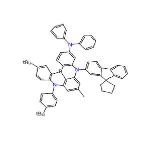 Cc1cc2c3c(c1)N(c1ccc4c(c1)C1(CCCC1)c1ccccc1-4)c1cc(N(c4ccccc4)c4ccccc4)ccc1B3c1cc(C(C)(C)C)ccc1N2c1ccc(C(C)(C)C)cc1